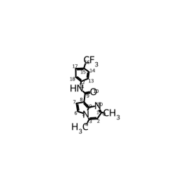 Cc1cc(C)n2ccc(C(=O)Nc3ccc(C(F)(F)F)cc3)c2n1